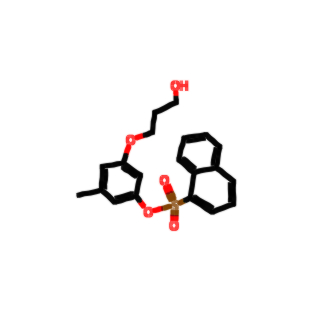 Cc1cc(OCCCO)cc(OS(=O)(=O)c2cccc3ccccc23)c1